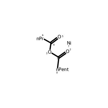 CCCCCC(=O)OC(=O)CCC.[Ni]